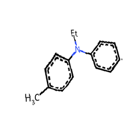 CCN(c1cc[c]cc1)c1ccc(C)cc1